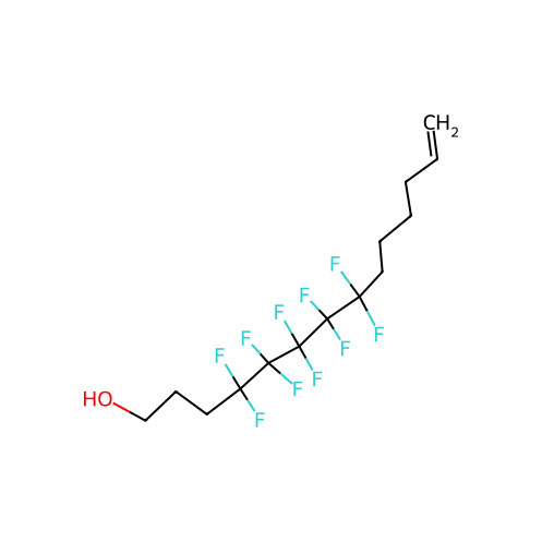 C=CCCCCC(F)(F)C(F)(F)C(F)(F)C(F)(F)C(F)(F)CCCO